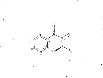 CCC[C@H](C(C)=O)N(C)C(=O)c1cnccn1